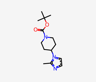 Cc1nccn1C1CCN(C(=O)OC(C)(C)C)CC1